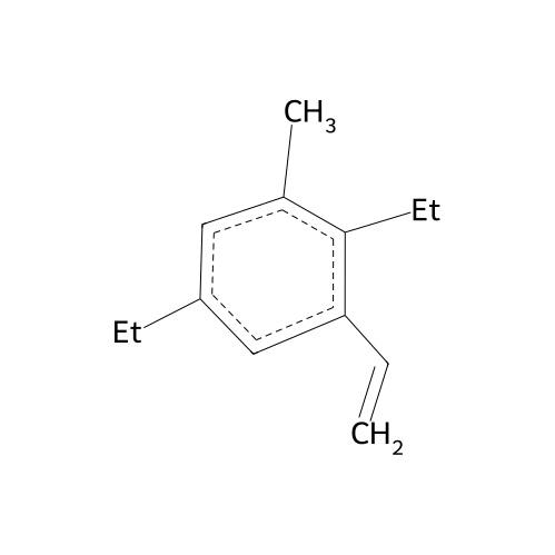 C=Cc1cc(CC)cc(C)c1CC